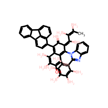 B=c1c(-c2ccc3c4c(cccc24)-c2ccccc2-3)c2c(B)c(B)c(O)c(B)c2c(-n2c(-c3c(B)c(B)c(B)c(B)c3B)nc3ccccc32)/c1=C(B)/C(B)=C(/B)C